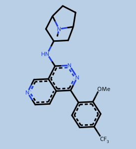 COc1cc(C(F)(F)F)ccc1-c1nnc(NC2CC3CCC(C2)N3C)c2cnccc12